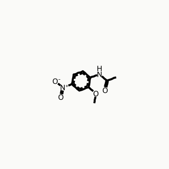 COc1cc([N+](=O)[O-])ccc1NC(C)=O